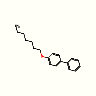 CCCCCCCOc1ccc(-c2cc[c]cc2)cc1